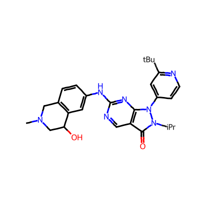 CC(C)n1c(=O)c2cnc(Nc3ccc4c(c3)C(O)CN(C)C4)nc2n1-c1ccnc(C(C)(C)C)c1